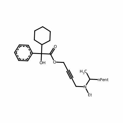 CCCCCC(C)N(CC)CC#CCOC(=O)C(O)(c1ccccc1)C1CCCCC1